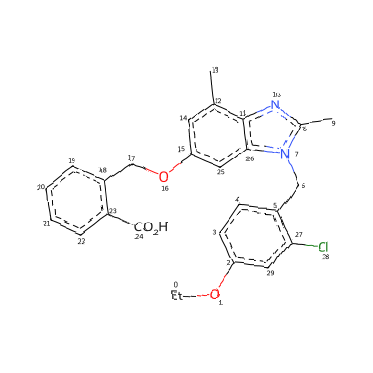 CCOc1ccc(Cn2c(C)nc3c(C)cc(OCc4ccccc4C(=O)O)cc32)c(Cl)c1